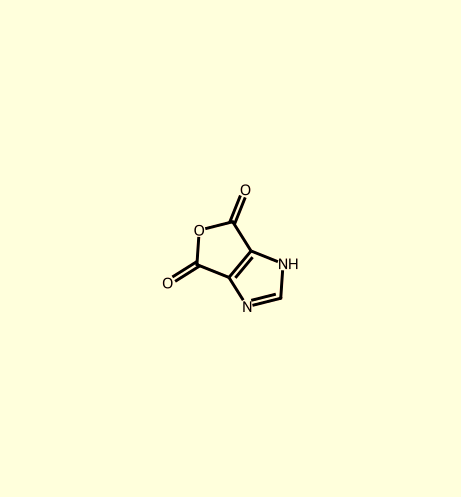 O=C1OC(=O)c2[nH]cnc21